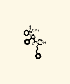 COC[C@]1(O)CCCC[C@H]1n1cnc(C(=O)N2CCNC[C@H]2CCCc2ccccc2)c1-c1ccccc1